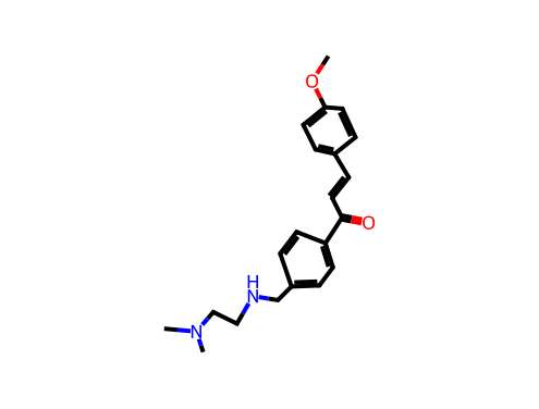 COc1ccc(C=CC(=O)c2ccc(CNCCN(C)C)cc2)cc1